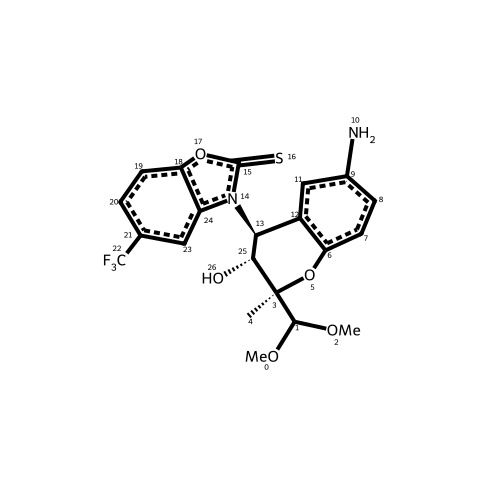 COC(OC)[C@]1(C)Oc2ccc(N)cc2[C@H](n2c(=S)oc3ccc(C(F)(F)F)cc32)[C@H]1O